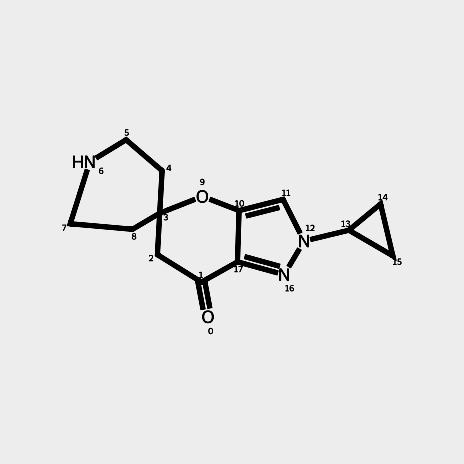 O=C1CC2(CCNCC2)Oc2cn(C3CC3)nc21